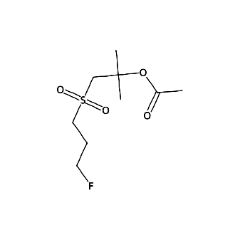 CC(=O)OC(C)(C)CS(=O)(=O)CCCF